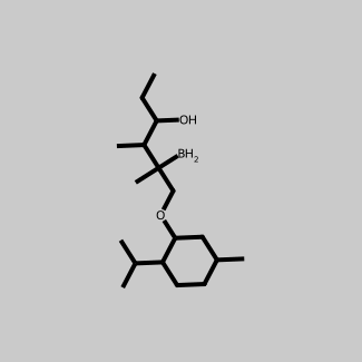 BC(C)(COC1CC(C)CCC1C(C)C)C(C)C(O)CC